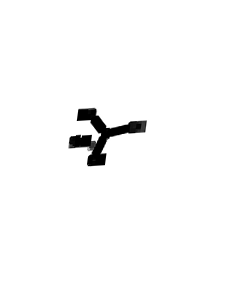 OB(O)O.[SbH3]